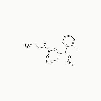 CCCNC(=O)O[C@@H](CC)[C@@H](OC)c1ccccc1I